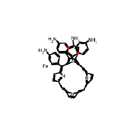 Nc1ccc(-c2c(-c3ccc(N)cc3)c3c(-c4ccc(N)cc4)c4nc(cc5ccc(cc6nc(cc2n3-c2ccc(N)cc2)C=C6)[nH]5)C=C4)cc1.[Fe]